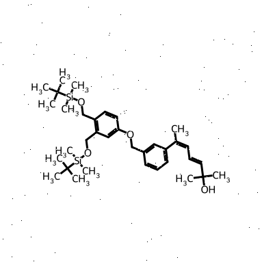 C/C(=C/C=C/C(C)(C)O)c1cccc(COc2ccc(CO[Si](C)(C)C(C)(C)C)c(CO[Si](C)(C)C(C)(C)C)c2)c1